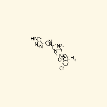 [C-]#[N+]CC(CN1CCCN(S(=O)(=O)c2cc(Cl)ccc2C)CC1)n1cc(-c2ncnc3[nH]ccc23)cn1